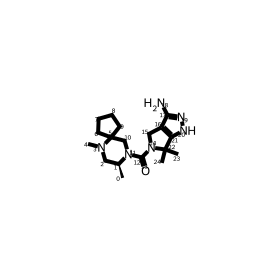 C[C@H]1CN(C)C2(CCCC2)CN1C(=O)N1Cc2c(N)n[nH]c2C1(C)C